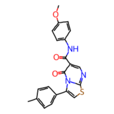 COc1ccc(NC(=O)c2cnc3scc(-c4ccc(C)cc4)n3c2=O)cc1